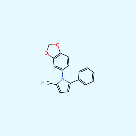 Cc1ccc(-c2ccccc2)n1-c1ccc2c(c1)OCO2